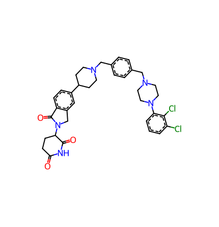 O=C1CCC(N2Cc3cc(C4CCN(Cc5ccc(CN6CCN(c7cccc(Cl)c7Cl)CC6)cc5)CC4)ccc3C2=O)C(=O)N1